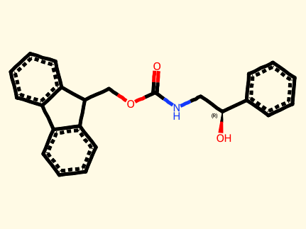 O=C(NC[C@H](O)c1ccccc1)OCC1c2ccccc2-c2ccccc21